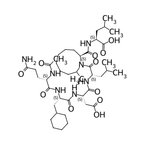 CC(=O)N[C@@H](CCC(N)=O)C(=O)N[C@@H](CC1CCCCC1)C(=O)N[C@@H](CC(=O)O)C(=O)N[C@@H](CC(C)C)C(=O)N1C(C)CCCCCC[C@H]1C(=O)N[C@@H](CC(C)C)C(=O)O